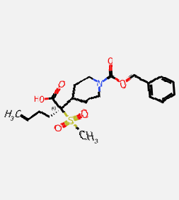 CCCC[C@](C(=O)O)(C1CCN(C(=O)OCc2ccccc2)CC1)S(C)(=O)=O